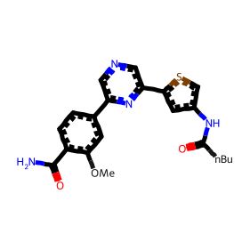 CCCCC(=O)Nc1csc(-c2cncc(-c3ccc(C(N)=O)c(OC)c3)n2)c1